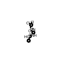 O=C(C[C@@H](O)c1ccccc1)Nc1ccc2ncn(Cc3ccc(Cl)c(Cl)c3)c(=O)c2c1